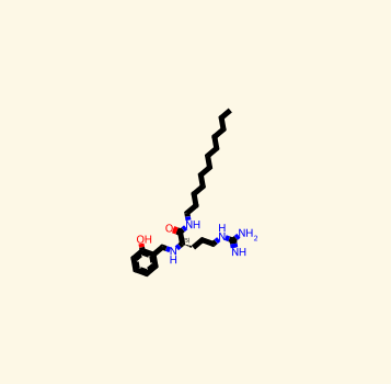 CCCCCCCCCCCCNC(=O)[C@H](CCCNC(=N)N)NCc1ccccc1O